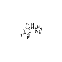 Fc1cc(F)c(Nc2nnco2)cc1F